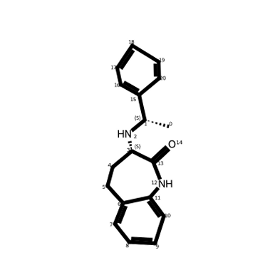 C[C@H](N[C@H]1CCc2ccccc2NC1=O)c1ccccc1